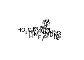 CS(=O)(=O)N1CCN(c2nc3c(N4CCOCC4)nc(-c4cnc(NC(=O)O)nc4)nc3n2CC(F)(F)F)CC1